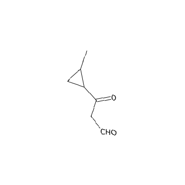 CC1CC1C(=O)CC=O